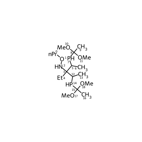 CCCONC(CC)(C(C)PC(C)(OC)OC)C(C)PC(C)(OC)OC